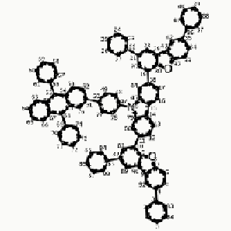 c1ccc(-c2ccc3oc4c(-c5ccc6c7ccc(-c8cc(-c9ccccc9)cc9c8oc8ccc(-c%10ccccc%10)cc89)cc7n(-c7ccc(-c8ccc9c(-c%10ccccc%10)c%10ccccc%10c(-c%10ccccc%10)c9c8)cc7)c6c5)cc(-c5ccccc5)cc4c3c2)cc1